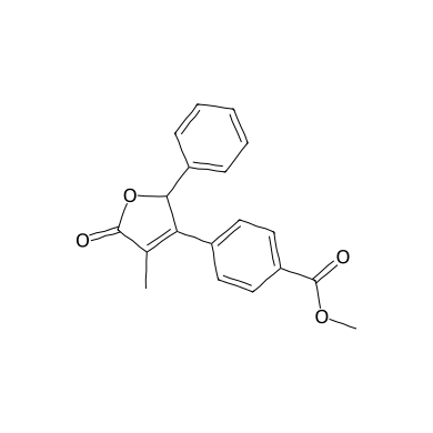 COC(=O)c1ccc(C2=C(C)C(=O)OC2c2ccccc2)cc1